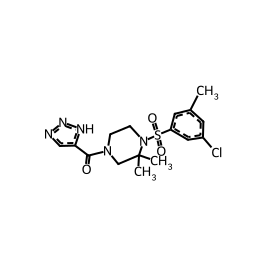 Cc1cc(Cl)cc(S(=O)(=O)N2CCN(C(=O)c3cnn[nH]3)CC2(C)C)c1